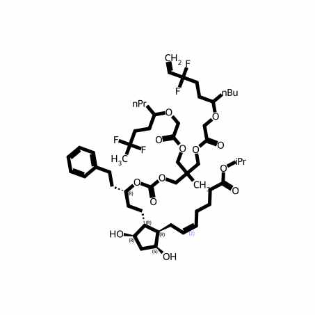 C=CC(F)(F)CCC(CCCC)OCC(=O)OCC(C)(COC(=O)COC(CCC)CCC(C)(F)F)COC(=O)O[C@@H](CCc1ccccc1)CC[C@@H]1[C@@H](C/C=C\CCCC(=O)OC(C)C)[C@@H](O)C[C@H]1O